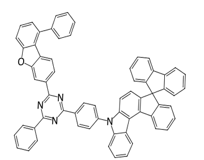 c1ccc(-c2nc(-c3ccc(-n4c5ccccc5c5c6c(ccc54)C4(c5ccccc5-c5ccccc54)c4ccccc4-6)cc3)nc(-c3ccc4c(c3)oc3cccc(-c5ccccc5)c34)n2)cc1